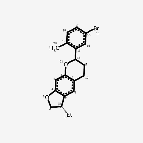 CC[C@@H]1COc2cc3c(cc21)CCC(c1cc(Br)ccc1C)O3